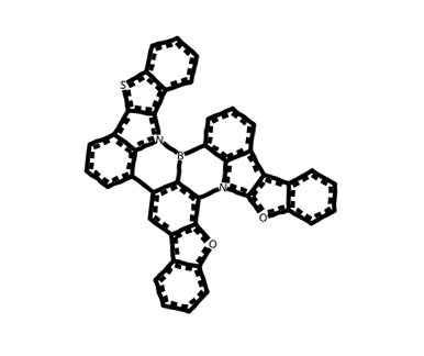 c1ccc2c(c1)oc1c3c4c(cc12)-c1cccc2c5sc6ccccc6c5n(c12)B4c1cccc2c4c5ccccc5oc4n-3c12